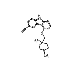 CN1CCC(C)(COc2ccnc3[nH]c4cnc(C#N)cc4c23)CC1